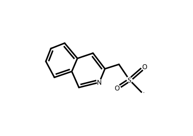 [CH2]S(=O)(=O)Cc1cc2ccccc2cn1